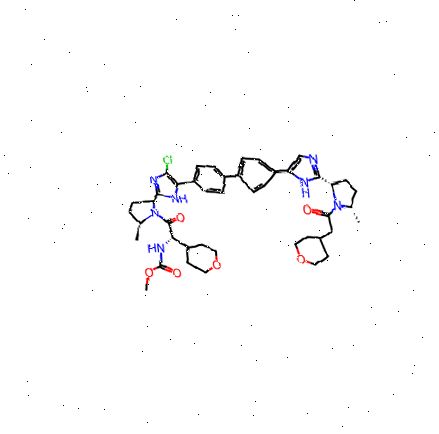 COC(=O)N[C@H](C(=O)N1[C@@H](C)CC[C@H]1c1nc(Cl)c(-c2ccc(-c3ccc(-c4cnc([C@@H]5CC[C@H](C)N5C(=O)CC5CCOCC5)[nH]4)cc3)cc2)[nH]1)C1CCOCC1